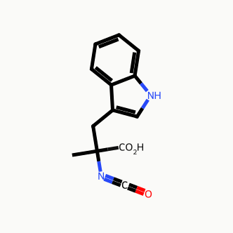 CC(Cc1c[nH]c2ccccc12)(N=C=O)C(=O)O